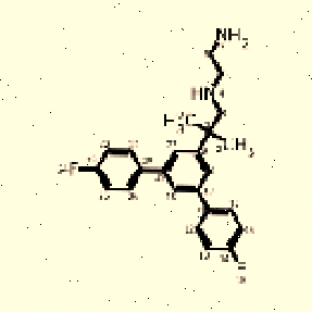 CC(C)(CNCCN)c1cc(-c2ccc(F)cc2)cc(-c2ccc(F)cc2)c1